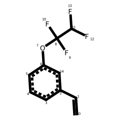 C=Cc1cccc(OC(F)(F)C(F)F)c1